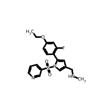 CCOc1ccc(-c2cc(CNC)cn2S(=O)(=O)c2cccnc2)c(F)c1